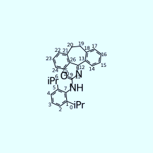 CC(C)c1cccc(C(C)C)c1NC(=O)N=C1c2ccccc2CCc2ccccc21